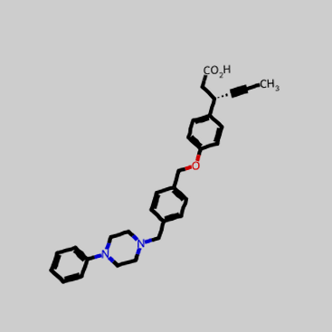 CC#C[C@@H](CC(=O)O)c1ccc(OCc2ccc(CN3CCN(c4ccccc4)CC3)cc2)cc1